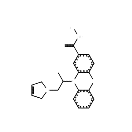 CCCNC(=S)c1ccc2c(c1)N(C(C)CN1CC=CC1)c1ccccc1S2